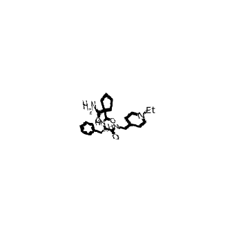 CCN1CCC(CNC(=O)[C@@H](Cc2ccccc2)NC(=O)C2(C(N)=O)CCCC2)CC1